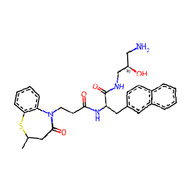 CC1CC(=O)N(CCC(=O)NC(Cc2ccc3ccccc3c2)C(=O)NC[C@H](O)CN)c2ccccc2S1